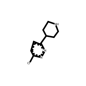 Clc1ccc(C2CCNCC2)nn1